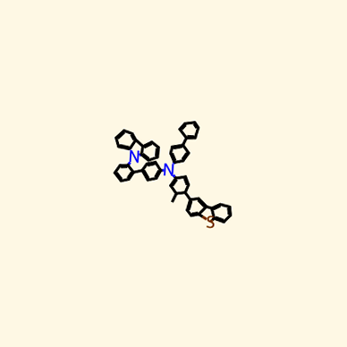 CC1C=C(N(c2ccc(-c3ccccc3)cc2)c2ccc(-c3ccccc3-n3c4ccccc4c4ccccc43)cc2)C=CC1c1ccc2sc3ccccc3c2c1